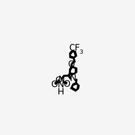 O=c1[nH]c(=O)n(Cc2cn(Cc3ccccc3)c3ccc(OCc4ccc(C(F)(F)F)cc4)cc23)o1